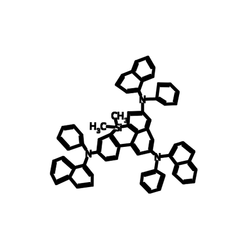 C[Si]1(C)c2cc(N(c3ccccc3)c3cccc4ccccc34)ccc2-c2cc(N(c3ccccc3)c3cccc4ccccc34)cc3cc(N(c4ccccc4)c4cccc5ccccc45)cc1c23